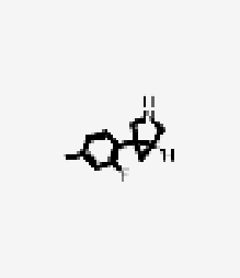 Cc1ccc(C23CNC[C@H]2C3)c(F)c1